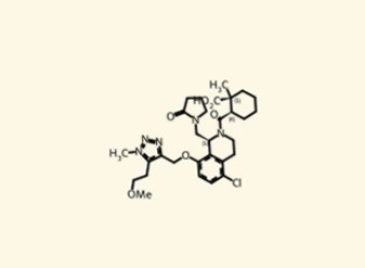 COCCc1c(COc2ccc(Cl)c3c2[C@@H](CN2CCCC2=O)N(C(=O)[C@@H]2CCCC[C@]2(C)C(=O)O)CC3)nnn1C